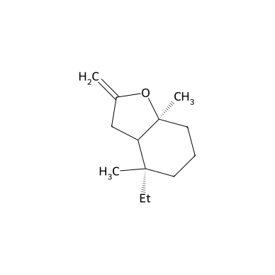 C=C1CC2[C@@](C)(CC)CCC[C@]2(C)O1